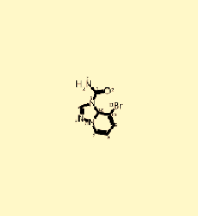 NC(=O)N1[C]=NN2C=CC=C(Br)C21